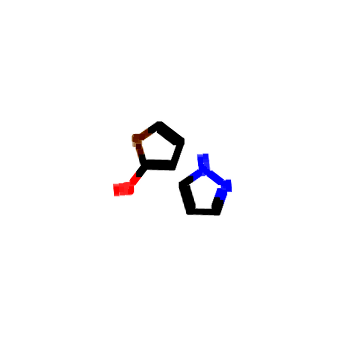 Oc1cccs1.c1cn[nH]c1